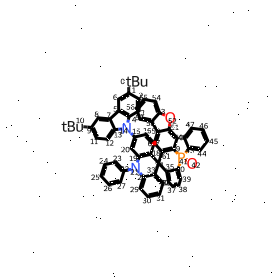 CC(C)(C)c1ccc2c(c1)c1cc(C(C)(C)C)ccc1n2-c1ccc2c(c1)N(c1ccccc1)c1ccccc1C21c2ccccc2P(=O)(c2ccccc2)c2cc3oc4ccccc4c3cc21